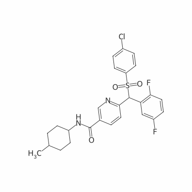 CC1CCC(NC(=O)c2ccc(C(c3cc(F)ccc3F)S(=O)(=O)c3ccc(Cl)cc3)nc2)CC1